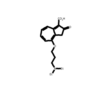 CCN(CC)CCCOC1=C2CC(=O)C(C(=O)O)=C2C=CC=C1